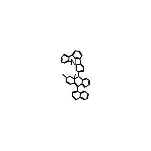 CC1C=CC2=C(c3cccc4ccccc34)c3ccccc3C(c3ccc4c5cccc6c7ccccc7n(c4c3)c65)C2(C)C1